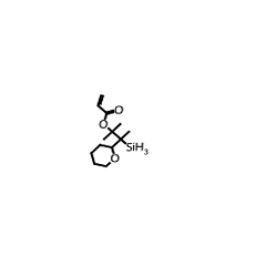 C=CC(=O)OC(C)(C)C(C)([SiH3])C1CCCCO1